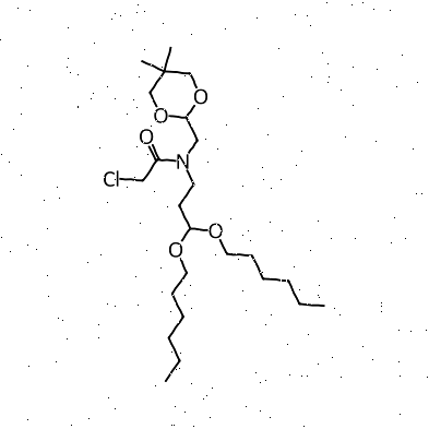 CCCCCCOC(CCN(CC1OCC(C)(C)CO1)C(=O)CCl)OCCCCCC